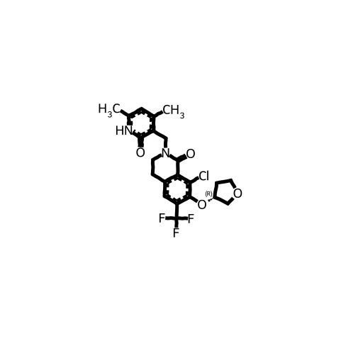 Cc1cc(C)c(CN2CCc3cc(C(F)(F)F)c(O[C@@H]4CCOC4)c(Cl)c3C2=O)c(=O)[nH]1